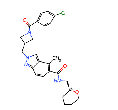 Cc1c(C(=O)NC[C@@H]2CCCCO2)ccc2nn(CC3CN(C(=O)c4ccc(Cl)cc4)C3)cc12